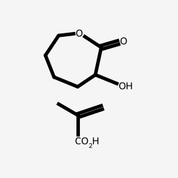 C=C(C)C(=O)O.O=C1OCCCCC1O